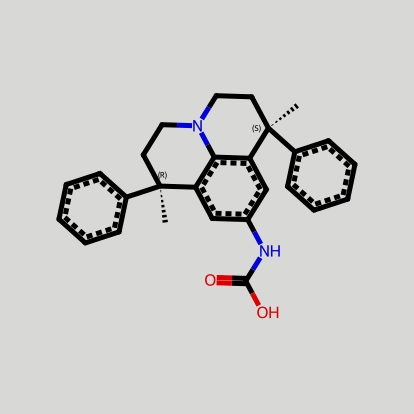 C[C@@]1(c2ccccc2)CCN2CC[C@](C)(c3ccccc3)c3cc(NC(=O)O)cc1c32